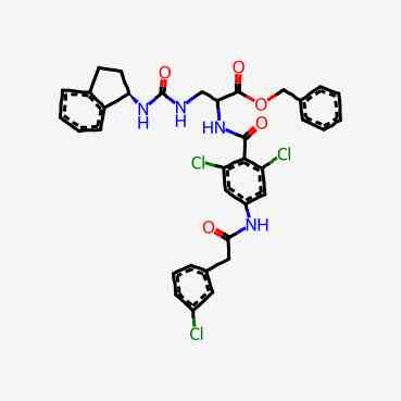 O=C(Cc1cccc(Cl)c1)Nc1cc(Cl)c(C(=O)NC(CNC(=O)N[C@@H]2CCc3ccccc32)C(=O)OCc2ccccc2)c(Cl)c1